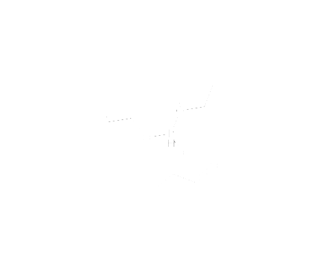 CCC=O.CCO[PH](=O)OCC